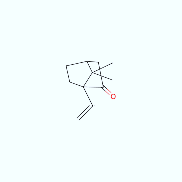 C=[C]C12CCC(CC1=O)C2(C)C